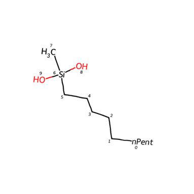 CCCCCCCCCC[Si](C)(O)O